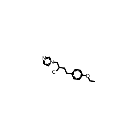 CCOc1ccc(CCC(Cl)Cn2ccnc2)cc1